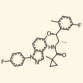 Cc1ccc(F)cc1[C@H](Oc1ccc2c(cnn2-c2ccc(F)cc2)c1)[C@H](C)NC(=O)C1(C)CC1